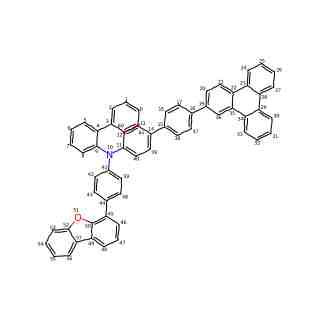 c1ccc(-c2ccccc2N(c2ccc(-c3ccc(-c4ccc5c6ccccc6c6ccccc6c5c4)cc3)cc2)c2ccc(-c3cccc4c3oc3ccccc34)cc2)cc1